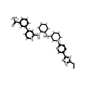 CCc1nc(-c2ccc(N3CCC[C@H](N[C@@H]4CCCC[C@H]4Nc4cc(-c5cccc(C(N)=O)c5)ccn4)C3)nc2)no1